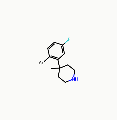 CC(=O)c1ccc(F)cc1C1(C)CCNCC1